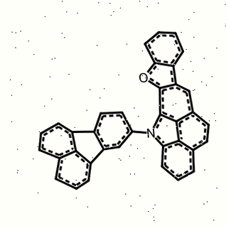 c1cc2c3c(cccc3c1)-c1cc(-n3c4cccc5ccc6cc7c8ccccc8oc7c3c6c54)ccc1-2